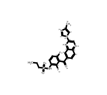 CCCS(=O)(=O)Nc1ccc(F)c(C(=O)c2ccc3ncc(-n4cnc(C)c4)nc3c2)c1F